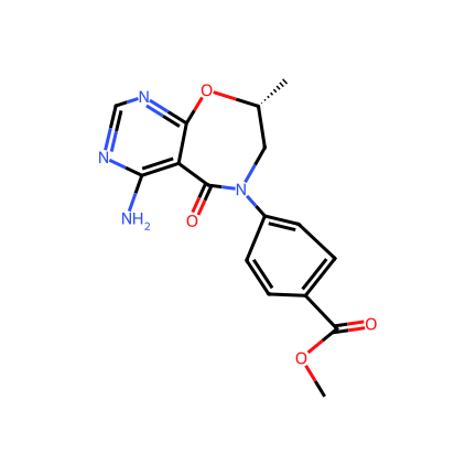 COC(=O)c1ccc(N2C[C@@H](C)Oc3ncnc(N)c3C2=O)cc1